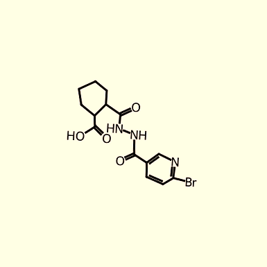 O=C(NNC(=O)C1CCCCC1C(=O)O)c1ccc(Br)nc1